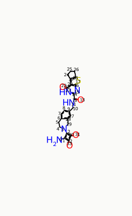 Nc1c(N2CCc3ccc(CNC(=O)c4nc5sc6c(c5c(=O)[nH]4)CCC6)cc3C2)c(=O)c1=O